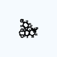 COc1cc2c3c(c1OC)C1(C=CC(=O)C=C1)C[C@H]3N(C)CC2